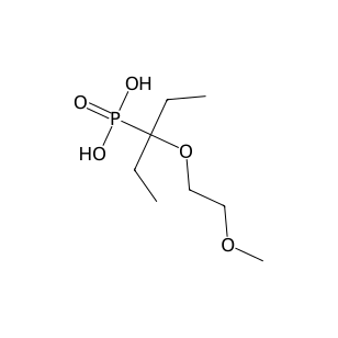 CCC(CC)(OCCOC)P(=O)(O)O